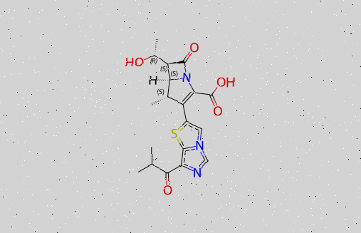 CC(C)C(=O)c1ncn2cc(C3=C(C(=O)O)N4C(=O)[C@H]([C@@H](C)O)[C@@H]4[C@H]3C)sc12